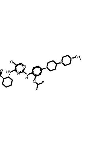 CN1CCN(C2CCN(c3ccc(Nc4ncc(Cl)c(N[C@@H]5CCCC[C@H]5C(N)=O)n4)c(OC(F)F)c3)CC2)CC1